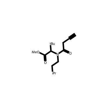 C#CCC(=O)N(CCC(C)C)C(C(=O)OC)C(C)(C)C